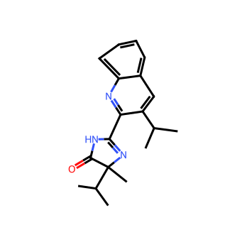 CC(C)c1cc2ccccc2nc1C1=NC(C)(C(C)C)C(=O)N1